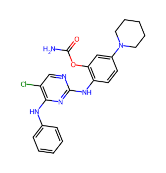 NC(=O)Oc1cc(N2CCCCC2)ccc1Nc1ncc(Cl)c(Nc2ccccc2)n1